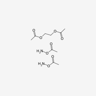 CC(=O)OCCOC(C)=O.CC(=O)ON.CC(=O)ON